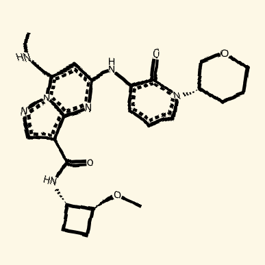 CNc1cc(Nc2cccn([C@H]3CCCOC3)c2=O)nc2c(C(=O)N[C@H]3CC[C@@H]3OC)cnn12